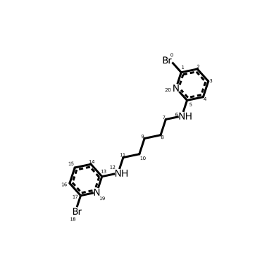 Brc1cccc(NCCCCCNc2cccc(Br)n2)n1